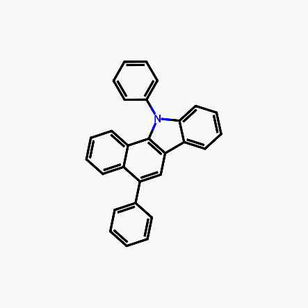 c1ccc(-c2cc3c4ccccc4n(-c4ccccc4)c3c3ccccc23)cc1